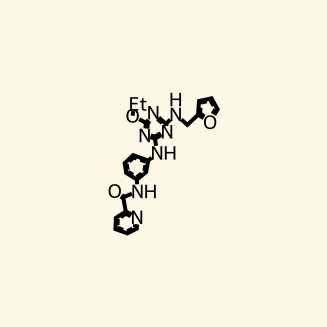 CCOc1nc(NCc2ccco2)nc(Nc2cccc(NC(=O)c3ccccn3)c2)n1